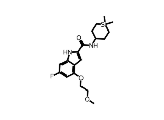 COCCOc1cc(F)cc2[nH]c(C(=O)NC3CC[Si](C)(C)CC3)cc12